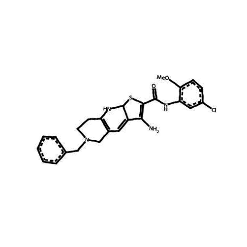 COc1ccc(Cl)cc1NC(=O)C1=C(N)C2=CC3=C(CCN(Cc4ccccc4)C3)NC2S1